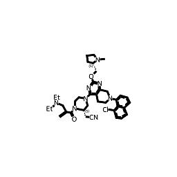 C=C(CN(CC)CC)C(=O)N1CCN(c2nc(OC[C@@H]3CCCN3C)nc3c2CCN(c2cccc4cccc(Cl)c24)C3)C[C@@H]1CC#N